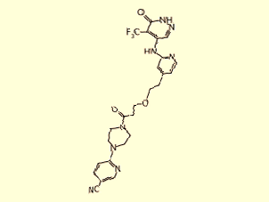 N#Cc1ccc(N2CCN(C(=O)CCOCCc3ccnc(Nc4cn[nH]c(=O)c4C(F)(F)F)c3)CC2)nc1